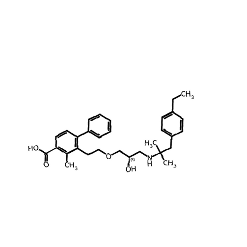 CCc1ccc(CC(C)(C)NC[C@@H](O)COCCc2c(-c3ccccc3)ccc(C(=O)O)c2C)cc1